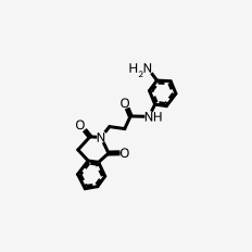 Nc1cccc(NC(=O)CCN2C(=O)Cc3ccccc3C2=O)c1